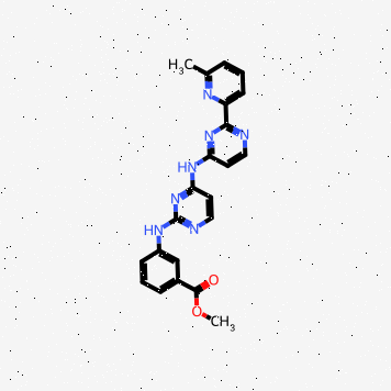 COC(=O)c1cccc(Nc2nccc(Nc3ccnc(-c4cccc(C)n4)n3)n2)c1